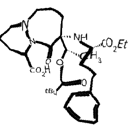 CCOC(=O)[C@H](CCc1ccccc1)N[C@@]1([C@H](C)OC(=O)C(C)(C)C)CCCN2CCCC(C(=O)O)N2C1=O